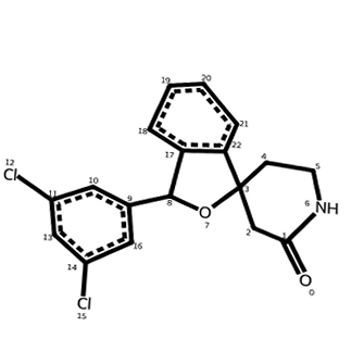 O=C1CC2(CCN1)OC(c1cc(Cl)cc(Cl)c1)c1ccccc12